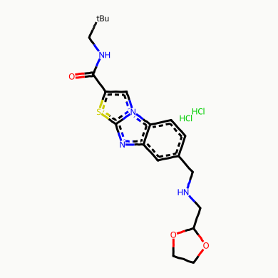 CC(C)(C)CNC(=O)c1cn2c(nc3cc(CNCC4OCCO4)ccc32)s1.Cl.Cl